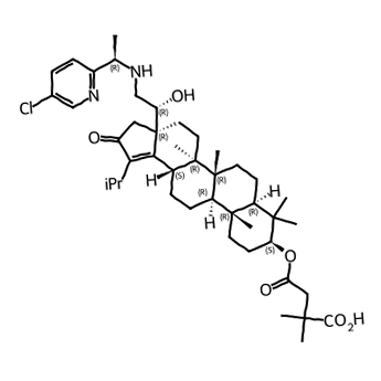 CC(C)C1=C2[C@H]3CC[C@@H]4[C@@]5(C)CC[C@H](OC(=O)CC(C)(C)C(=O)O)C(C)(C)[C@@H]5CC[C@@]4(C)[C@]3(C)CC[C@@]2([C@@H](O)CN[C@H](C)c2ccc(Cl)cn2)CC1=O